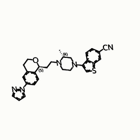 C[C@@H]1CN(c2csc3cc(C#N)ccc23)CCN1CC[C@@H]1OCCc2cc(-n3cccn3)ccc21